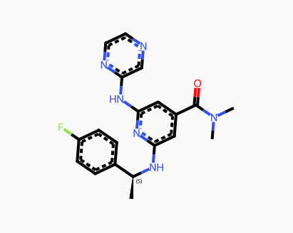 C[C@H](Nc1cc(C(=O)N(C)C)cc(Nc2cnccn2)n1)c1ccc(F)cc1